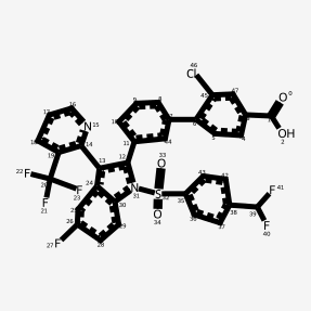 O=C(O)c1ccc(-c2cccc(-c3c(-c4ncccc4C(F)(F)F)c4cc(F)ccc4n3S(=O)(=O)c3ccc(C(F)F)cc3)c2)c(Cl)c1